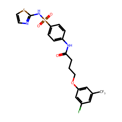 O=C(CCCOc1cc(F)cc(C(F)(F)F)c1)Nc1ccc(S(=O)(=O)Nc2nccs2)cc1